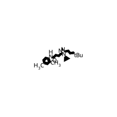 Cc1ccc(NC(=O)CCc2nnc(CCCC(C)(C)C)n2C2CC2)c(C)c1